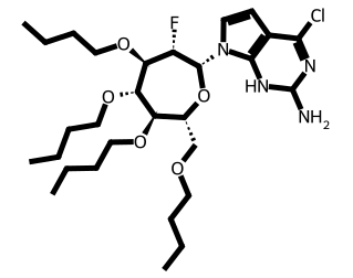 CCCCOC[C@H]1O[C@@H](n2ccc3c2NC(N)N=C3Cl)[C@@H](F)[C@H](OCCCC)[C@@H](OCCCC)[C@@H]1OCCCC